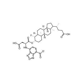 C[C@H](CCC(=O)O)C1CC[C@H]2[C@@H]3CC[C@@H]4[C@@H](F)[C@@H](OC(=O)[C@H](CC(=O)O)Nc5ccc([N+](=O)[O-])c6nonc56)CC[C@]4(C)[C@H]3CC[C@]12C